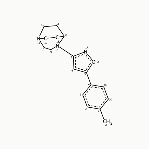 Cc1ccc(-c2cc(N3CCN4CCC3CC4)no2)cc1